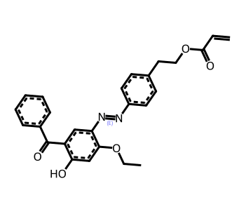 C=CC(=O)OCCc1ccc(/N=N/c2cc(C(=O)c3ccccc3)c(O)cc2OCC)cc1